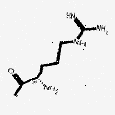 [CH]C(=O)[C@@H](N)CCCNC(=N)N